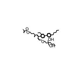 C=C(/C=C(\C=C/COCCC(CO)(CO)CCCC)c1ccc(-c2ccc(CCCCC)cc2)cc1CC)CCCOC(=O)C(=C)C